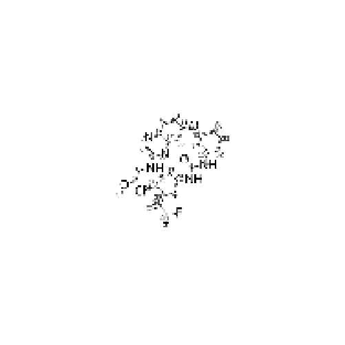 COCCNc1cnc2ccc(Oc3cc(NC(=O)Nc4ccc(Cl)c(C(F)C(F)F)c4)ccc3F)cc2n1